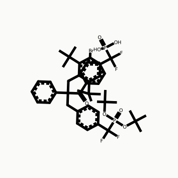 CC(C)(C)OP(=O)(OC(C)(C)C)C(F)(F)c1ccc(CC(Cc2c(C(C)(C)C)cc(C(F)(F)P(=O)(O)O)c(Br)c2C(C)(C)C)(C(=O)c2ccccc2)c2ccccc2)cc1